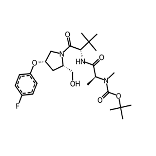 C[C@@H](C(=O)N[C@H](C(=O)N1C[C@@H](Oc2ccc(F)cc2)C[C@H]1CO)C(C)(C)C)N(C)C(=O)OC(C)(C)C